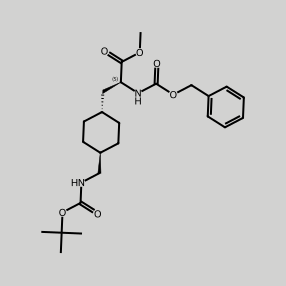 COC(=O)[C@H](C[C@H]1CC[C@H](CNC(=O)OC(C)(C)C)CC1)NC(=O)OCc1ccccc1